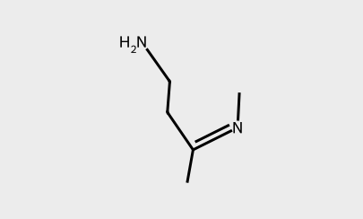 C/N=C(/C)CCN